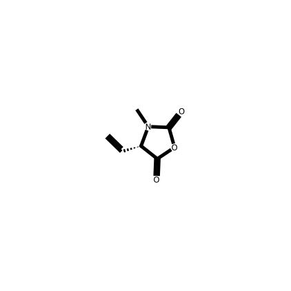 C=C[C@H]1C(=O)OC(=O)N1C